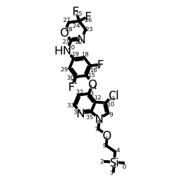 C[Si](C)(C)CCOCn1cc(Cl)c2c(Oc3c(F)cc(NC4=NCC(F)(F)CO4)cc3F)ccnc21